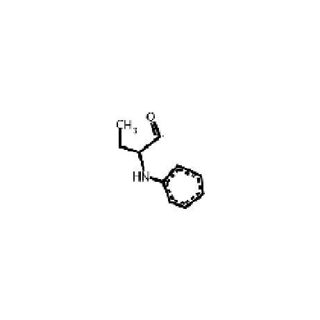 CCC([C]=O)Nc1ccccc1